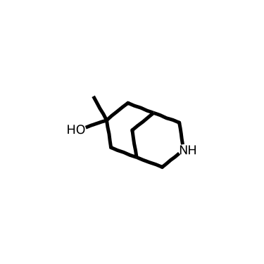 CC1(O)CC2CNCC(C2)C1